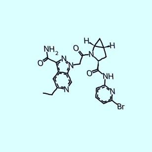 CCc1cc2c(C(N)=O)nn(CC(=O)N3[C@@H]4C[C@@H]4C[C@H]3C(=O)Nc3cccc(Br)n3)c2cn1